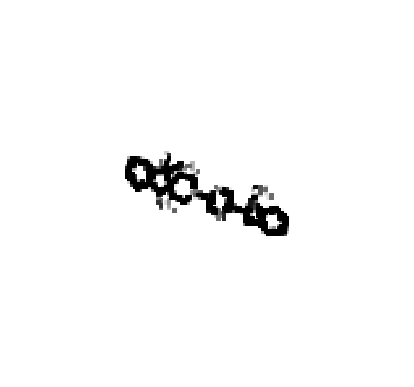 BC1(B)c2ccccc2[C@@H](N)C12CCN(c1cnc(-c3cc4ccccc4n3C)cn1)CC2